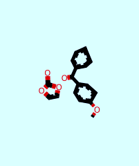 COc1ccc(C(=O)c2ccccc2)cc1.O=c1occo1